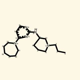 CCCN1CCCC(Nc2nccc(N3CCCCCC3)n2)C1